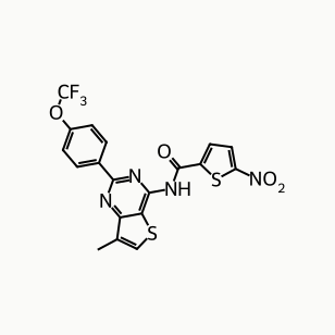 Cc1csc2c(NC(=O)c3ccc([N+](=O)[O-])s3)nc(-c3ccc(OC(F)(F)F)cc3)nc12